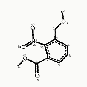 COCc1cccc(C(=O)OC)c1[N+](=O)[O-]